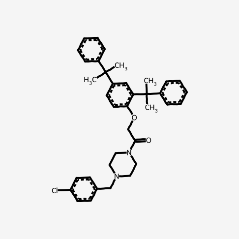 CC(C)(c1ccccc1)c1ccc(OCC(=O)N2CCN(Cc3ccc(Cl)cc3)CC2)c(C(C)(C)c2ccccc2)c1